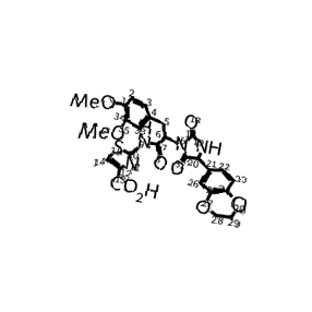 COc1ccc(CC(C(=O)Nc2nc(C(=O)O)cs2)N2C(=O)NC(c3ccc4c(c3)OCCO4)C2=O)cc1OC